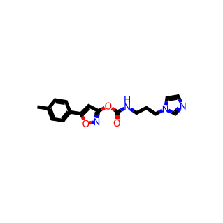 Cc1ccc(-c2cc(OC(=O)NCCCn3ccnc3)no2)cc1